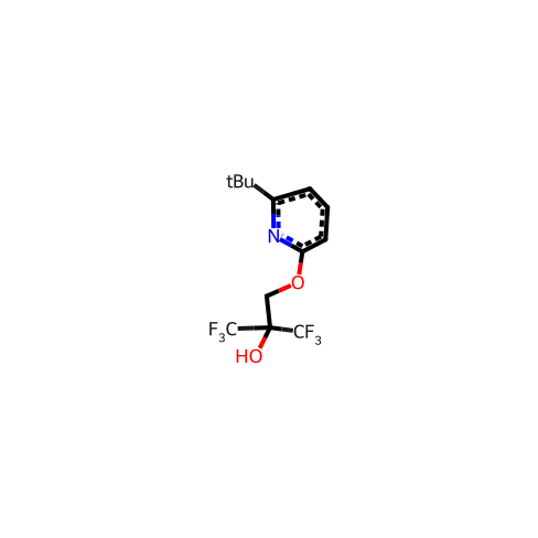 CC(C)(C)c1cccc(OCC(O)(C(F)(F)F)C(F)(F)F)n1